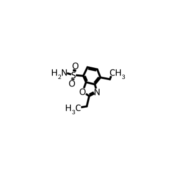 CCc1nc2c(CC)ccc(S(N)(=O)=O)c2o1